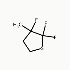 CC1(F)CCSC1(F)F